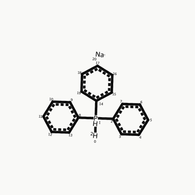 [2H][PH](c1ccccc1)(c1ccccc1)c1ccccc1.[Na]